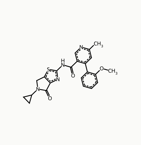 COc1ccccc1-c1cc(C)ncc1C(=O)Nc1nc2c(s1)CN(C1CC1)C2=O